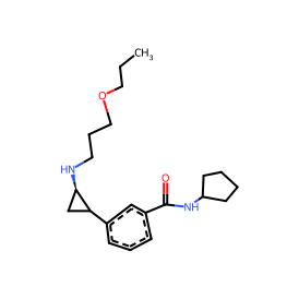 CCCOCCCN[C@@H]1CC1c1cccc(C(=O)NC2CCCC2)c1